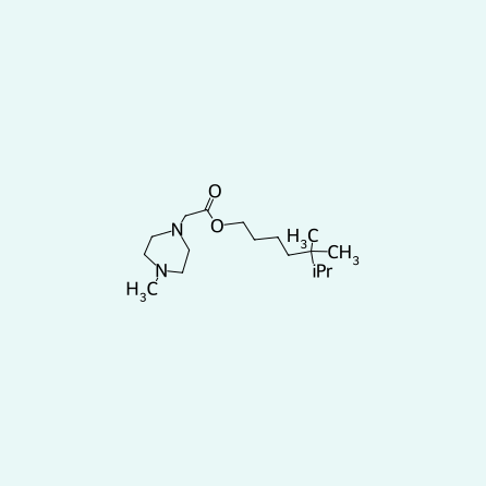 CC(C)C(C)(C)CCCCOC(=O)CN1CCN(C)CC1